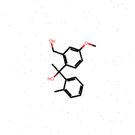 COc1ccc(C(C)(O)c2ccccc2C)c(CO)c1